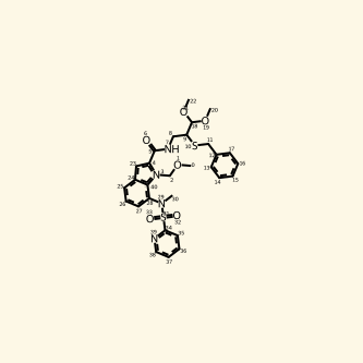 COCn1c(C(=O)NCC(SCc2ccccc2)C(OC)OC)cc2cccc(N(C)S(=O)(=O)c3ccccn3)c21